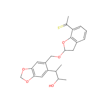 CC(=S)c1cccc2c1OC(OCc1cc3c(cc1C(C)C(C)O)OCO3)C2